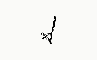 CCCCCC[C@H](CCC)OS(C)(=O)=O